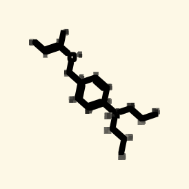 CC=C(C)OCc1ccc(N(CCC)CCC)cc1